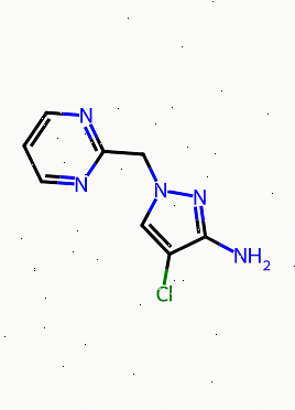 Nc1nn(Cc2ncccn2)cc1Cl